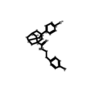 O=C(NCCc1ccc(Br)cc1)C12CC3CC(C1)CC(c1ccc(Cl)cc1)(C3)C2